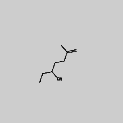 C=C(C)CCC(O)CC